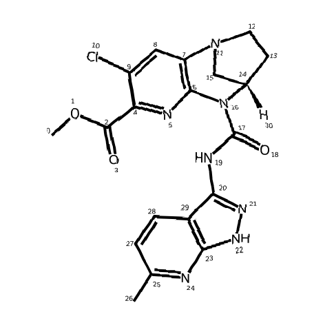 COC(=O)c1nc2c(cc1Cl)N1CC[C@@H](C1)N2C(=O)Nc1n[nH]c2nc(C)ccc12